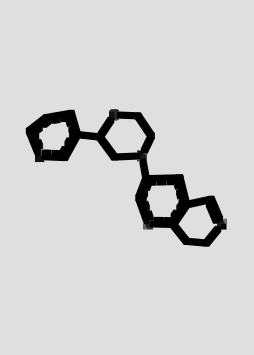 C1=NCCc2ncc(N3CCOC(c4cccnc4)C3)cc21